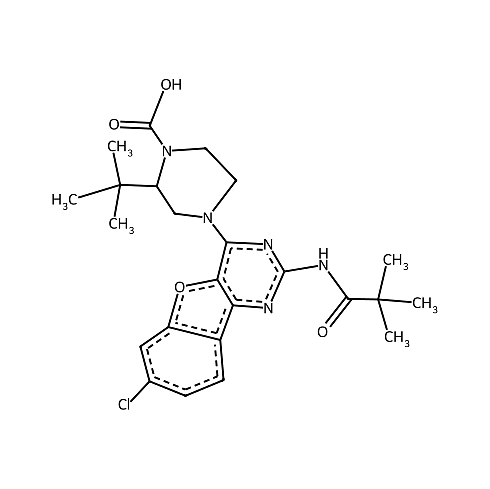 CC(C)(C)C(=O)Nc1nc(N2CCN(C(=O)O)C(C(C)(C)C)C2)c2oc3cc(Cl)ccc3c2n1